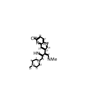 CN/C=C(\C(=N)CN1CCN(C)CC1)c1cnc2ccc(Cl)nc2c1